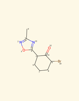 Cc1noc(C2CCCC(Br)C2=O)n1